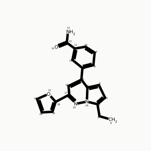 CCc1ccc2c(-c3cccc(C(N)=O)c3)cc(-c3ccco3)nn12